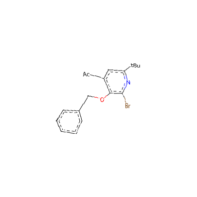 CC(=O)c1cc(C(C)(C)C)nc(Br)c1OCc1ccccc1